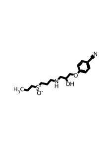 CCC[S+]([O-])CCCNCC(O)COc1ccc(C#N)cc1